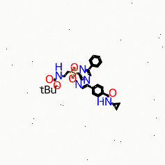 CC(C)(C)OC(=O)NCCS(=O)(=O)c1nc(-c2ccccc2)cn2c(-c3ccc(C(=O)NC4CC4)cc3)cnc12